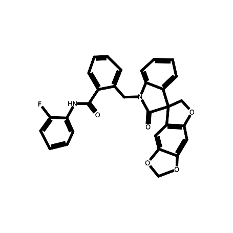 O=C(Nc1ccccc1F)c1ccccc1CN1C(=O)C2(COc3cc4c(cc32)OCO4)c2ccccc21